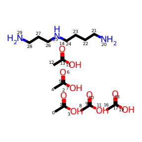 CC(=O)O.CC(=O)O.CC(=O)O.CC(=O)O.CC(=O)O.NCCCCNCCCN